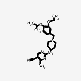 CCOc1cc(CN2CCC(Nc3ncc(C#N)c(N)n3)CC2)ccc1OC(C)C